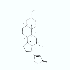 C[C@]12CC[C@H](OC=O)C[C@H]1CC[C@@H]1[C@@H]2C[C@@H](O)[C@]2(C)[C@@H](C3=CC(=O)OC3)CC[C@]12O